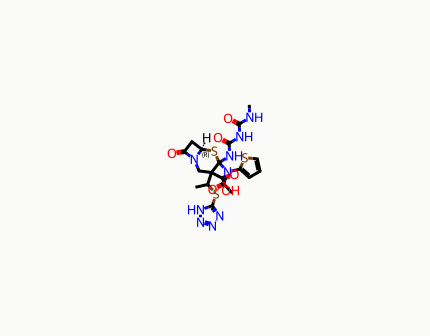 CNC(=O)NC(=O)NC1(N(C(C)=O)c2cccs2)S[C@@H]2CC(=O)N2CC1(C(=O)O)C(C)Sc1nnn[nH]1